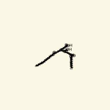 CCCCCCCCCCCCCCCCCCCCCCOC(=O)CCCCCCN(CCCCCCC(=O)O)CCCN(CCO)CCCCCCC(=C=O)OCCCCCCCCCCCC